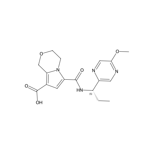 CC[C@H](NC(=O)c1cc(C(=O)O)c2n1CCOC2)c1cnc(OC)cn1